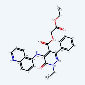 CCOC(=O)COC(=O)c1c(-c2ccccc2)nn(CC)c(=O)c1Nc1cccc2ncccc12